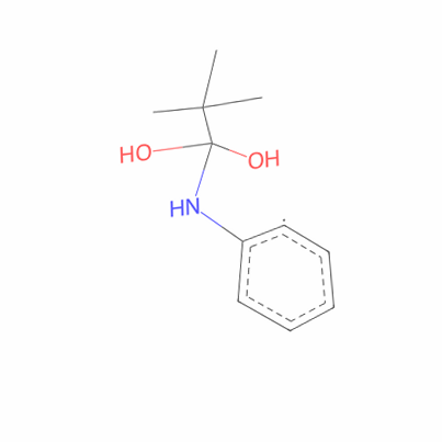 CC(C)(C)C(O)(O)Nc1[c]cccc1